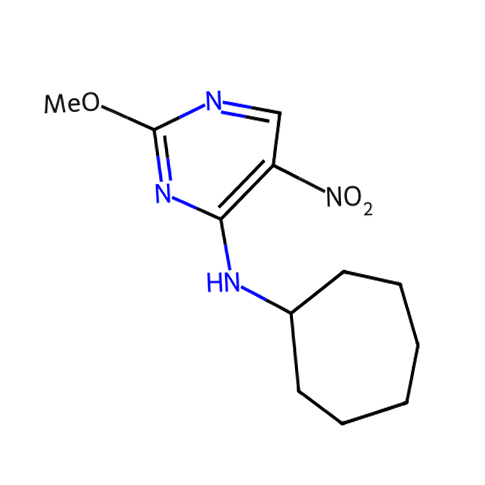 COc1ncc([N+](=O)[O-])c(NC2CCCCCC2)n1